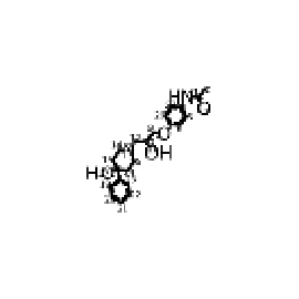 CC(=O)Nc1ccc(OCC(O)CN2CCC(O)(c3ccccc3)CC2)cc1